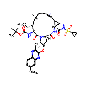 COC[C@@H]1C[C@H](C)CC/C=C\C2C[C@@]2(C(=O)NS(=O)(=O)C2CC2)NC(=O)[C@@H]2C[C@@H](Oc3nc4cc(OC)ccc4nc3C(F)(F)F)CN2C(=O)[C@H]1NC(=O)OC(C)(C)C(F)(F)F